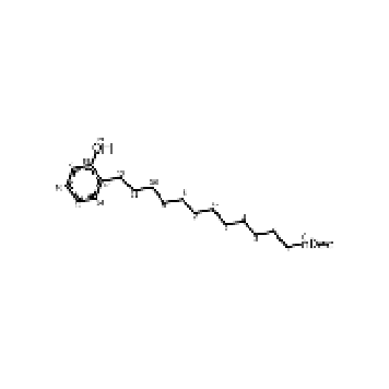 CCCCCCCCCCCCCCCCCCCCCCc1ccccc1O